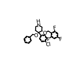 Fc1cc(F)c(CO[C@H]2CNCC[C@@]2(OCc2ccccc2)c2ccc(Cl)cc2)c(F)c1